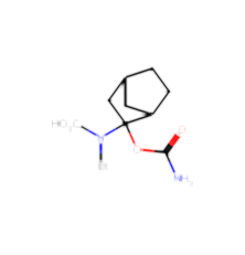 CCN(C(=O)O)C1(OC(N)=O)CC2CCC1C2